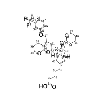 O=C(O)CCCCC1=C[C@@H]2C[C@H](OC3CCCCO3)[C@@H](C(=CCCOc3cccc(C(F)(F)F)c3)OC3CCCCO3)[C@@H]2C1